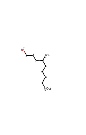 CCCCCCCCCCCCC(CCCC)CCCBr